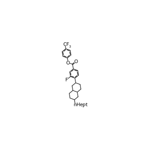 CCCCCCCC1CCC2CC(c3ccc(C(=O)Oc4ccc(C(F)(F)F)cc4)cc3F)CCC2C1